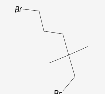 CC(C)(CBr)CCCBr